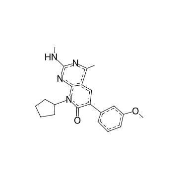 CNc1nc(C)c2cc(-c3cccc(OC)c3)c(=O)n(C3CCCC3)c2n1